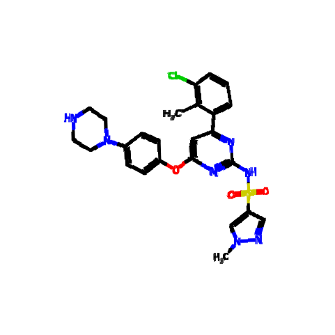 Cc1c(Cl)cccc1-c1cc(Oc2ccc(N3CCNCC3)cc2)nc(NS(=O)(=O)c2cnn(C)c2)n1